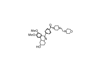 COc1cc2c(cc1OC)C1CC(O)CCC1N=C2c1ccc(C(=O)N2CCN(CCN3CCOCC3)CC2)cc1